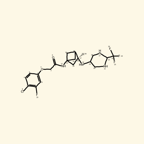 O=C(COc1ccc(Cl)c(F)c1)NC12CC(C1)[C@@H](NC1CNC(C(F)(F)F)NC1)C2